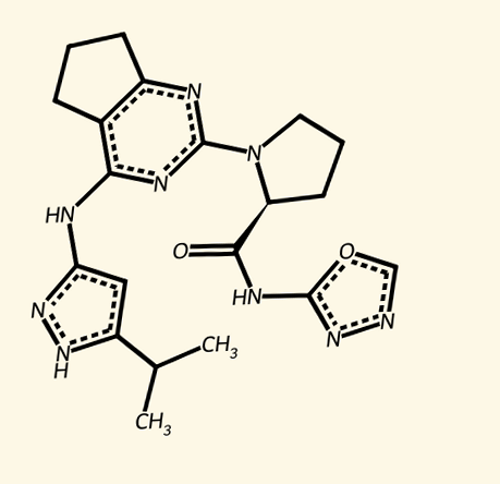 CC(C)c1cc(Nc2nc(N3CCC[C@H]3C(=O)Nc3nnco3)nc3c2CCC3)n[nH]1